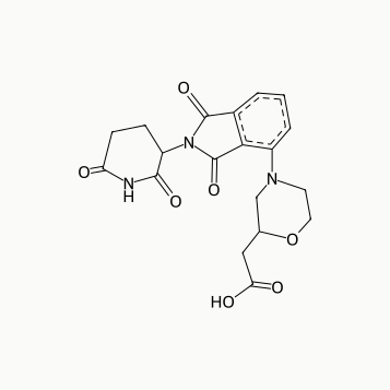 O=C(O)CC1CN(c2cccc3c2C(=O)N(C2CCC(=O)NC2=O)C3=O)CCO1